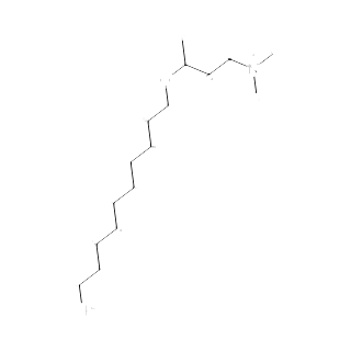 CC(C)CCCCCCCCCCOC(C)CCN(C)C